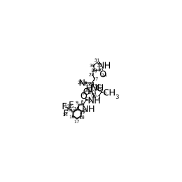 CC(C)C[C@H](NC(=O)c1cc2c(C(F)(F)F)cccc2[nH]1)C(=O)N[C@H](C#N)CC[C@@H]1CCNC1=O